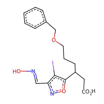 O=C(O)CC(CCCOCc1ccccc1)c1onc(C=NO)c1I